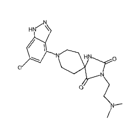 CN(C)CCN1C(=O)NC2(CCN(c3cc(Cl)cc4[nH]ncc34)CC2)C1=O